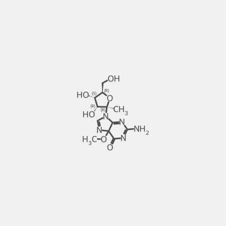 COC12N=CN([C@]3(C)O[C@H](CO)[C@@H](O)[C@H]3O)C1=NC(N)=NC2=O